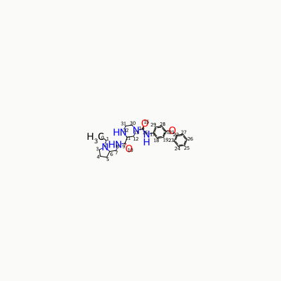 CCN1CCCC1CNC(=O)C1CN(C(=O)Nc2ccc(Oc3ccccc3)cc2)CCN1